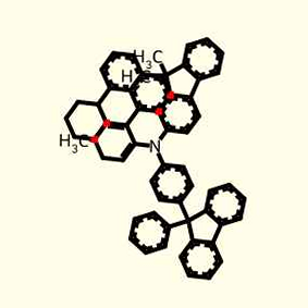 CC1C=C(c2cccc3cccc(C4CCCCC4)c23)C(N(c2ccc(C3(c4ccccc4)c4ccccc4-c4ccccc43)cc2)c2ccc3c(c2)C(C)(C)c2ccccc2-3)=CC1